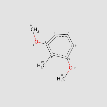 COc1[c]ccc(OC)c1C